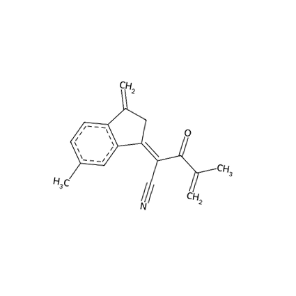 C=C(C)C(=O)/C(C#N)=C1\CC(=C)c2ccc(C)cc21